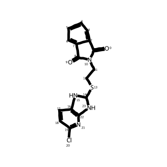 O=C1c2ccccc2C(=O)N1CCSC1Nc2ccc(Cl)nc2N1